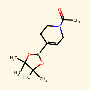 CC1(C)OB(C2=CCN(C(=O)C(F)(F)F)CC2)OC1(C)C